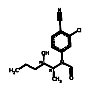 CCC[C@H](O)[C@H](C)N(C=O)c1ccc(C#N)c(Cl)c1